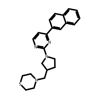 c1ccc2cc(-c3ccnc(N4CCC(CN5CCSCC5)C4)n3)ccc2c1